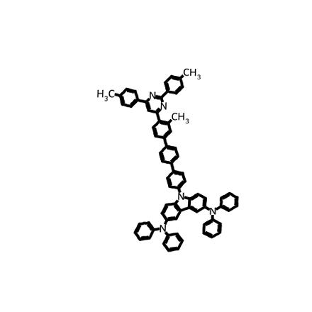 Cc1ccc(-c2cc(-c3ccc(-c4ccc(-c5ccc(-n6c7ccc(N(c8ccccc8)c8ccccc8)cc7c7cc(N(c8ccccc8)c8ccccc8)ccc76)cc5)cc4)cc3C)nc(-c3ccc(C)cc3)n2)cc1